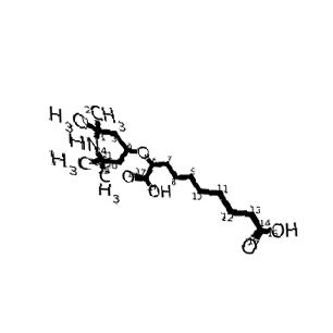 CC1(C)CC(OC(CCCCCCCC(=O)O)C(=O)O)CC(C)(C)N1